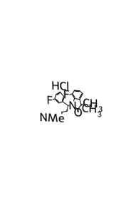 CNCC[C@@H](c1cccc(F)c1)N1C(=O)C(C)(C)c2cccc(F)c21.Cl